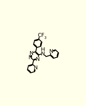 FC(F)(F)c1ccc(-c2nnc(-c3ccccn3)nc2NCc2ccccn2)cc1